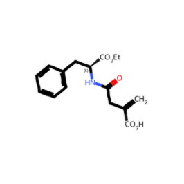 C=C(CC(=O)N[C@@H](Cc1ccccc1)C(=O)OCC)C(=O)O